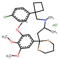 COc1cc(C2(CC(C)N(C)CC3(c4ccc(Cl)cc4)CCC3)SCCCS2)cc(OC)c1OC.Cl